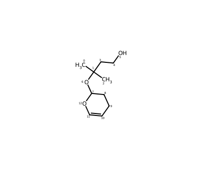 CC(C)(CCO)OC1CCC=CO1